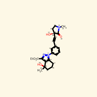 CCOC(=O)c1nn(-c2cccc(C#C[C@]3(O)CCN(C)C3=O)c2)c2c1C(C)(O)CCC2